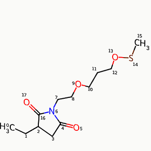 CCC1CC(=O)N(CCOCCCOSC)C1=O